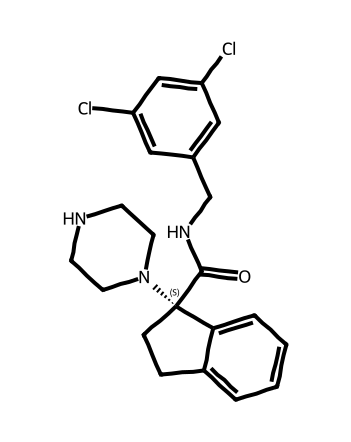 O=C(NCc1cc(Cl)cc(Cl)c1)[C@]1(N2CCNCC2)CCc2ccccc21